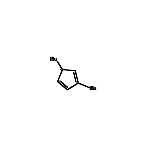 CCC(C)[C]1C=CC(C(C)CC)=C1